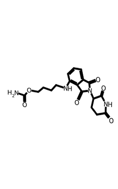 NC(=O)OCCCCNc1cccc2c1C(=O)N(C1CCC(=O)NC1=O)C2=O